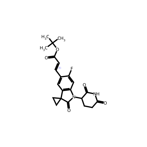 CC(C)(C)OC(=O)/C=C/c1cc2c(cc1F)N(C1CCC(=O)NC1=O)C(=O)C21CC1